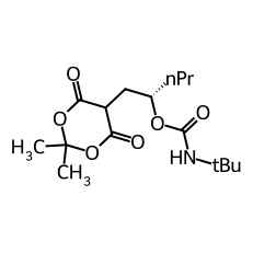 CCC[C@@H](CC1C(=O)OC(C)(C)OC1=O)OC(=O)NC(C)(C)C